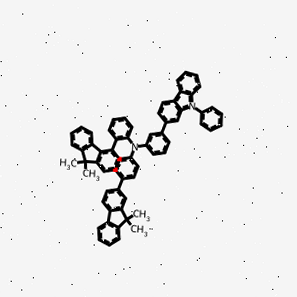 CC1(C)c2ccccc2-c2ccc(-c3ccc(N(c4cccc(-c5ccc6c7ccccc7n(-c7ccccc7)c6c5)c4)c4ccccc4-c4cccc5c4-c4ccccc4C5(C)C)cc3)cc21